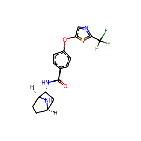 O=C(N[C@@H]1C[C@H]2CC[C@@H]1N2)c1ccc(Oc2cnc(C(F)(F)F)s2)cc1